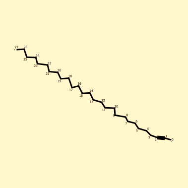 [CH2]C#CCCCCCCCCCCCCCCCCCCCCCCCC[CH2]